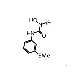 CSc1cccc(NC(=O)N(O)C(C)C)c1